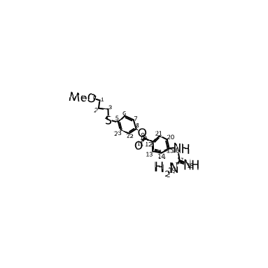 COCCCSc1ccc(OC(=O)c2ccc(NC(=N)N)cc2)cc1